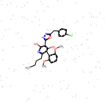 CCCCc1nc(O)c(-c2nnc(Cc3ccc(Cl)cc3)o2)c(O)c1-c1c(OC)cccc1OC